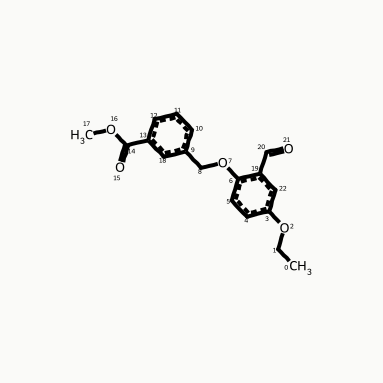 CCOc1ccc(OCc2cccc(C(=O)OC)c2)c(C=O)c1